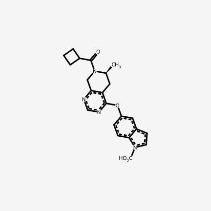 C[C@H]1Cc2c(ncnc2Oc2ccc3c(ccn3C(=O)O)c2)CN1C(=O)C1CCC1